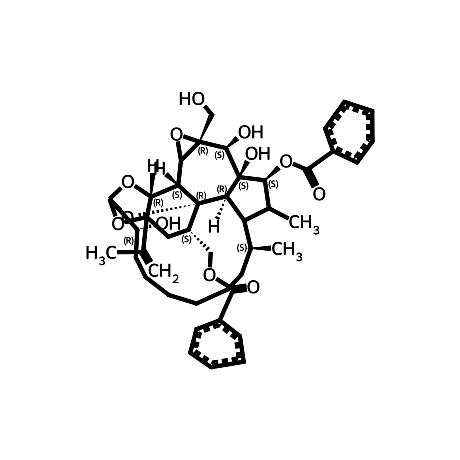 C=C(C)C12C[C@@H](COC(=O)c3ccccc3)[C@@]34OC5(O[C@@H]1[C@@H]3C1O[C@]1(CO)[C@@H](O)[C@@]1(O)[C@H]4C(C(C)[C@@H]1OC(=O)c1ccccc1)[C@@H](C)CCCCCC[C@H]5O)O2